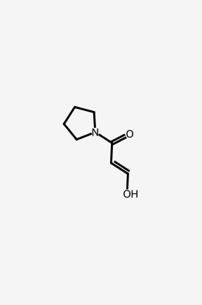 O=C(C=CO)N1CCCC1